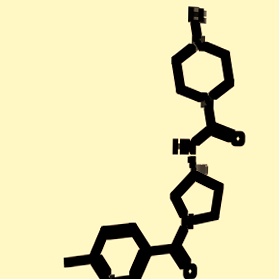 CCN1CCN(C(=O)N[C@@H]2CCN(C(=O)c3ccc(C)nc3)C2)CC1